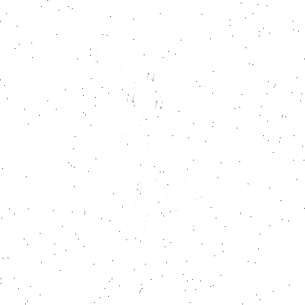 c1ccc(-c2nc(-c3ccccc3)nc(-c3cccc(-c4cccc5c4Sc4ccccc4C5(c4ccccc4)c4ccccc4)c3)n2)cc1